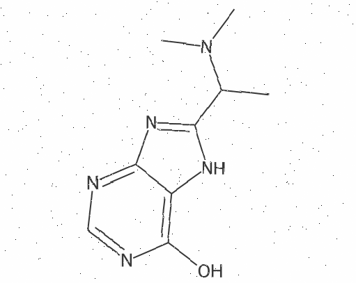 CC(c1nc2ncnc(O)c2[nH]1)N(C)C